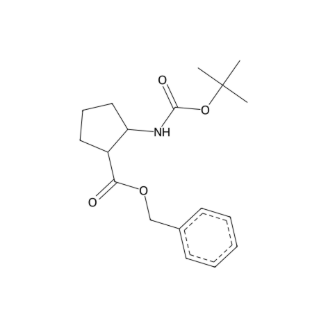 CC(C)(C)OC(=O)NC1CCCC1C(=O)OCc1ccccc1